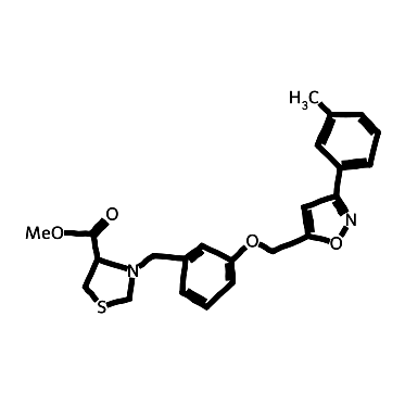 COC(=O)C1CSCN1Cc1cccc(OCc2cc(-c3cccc(C)c3)no2)c1